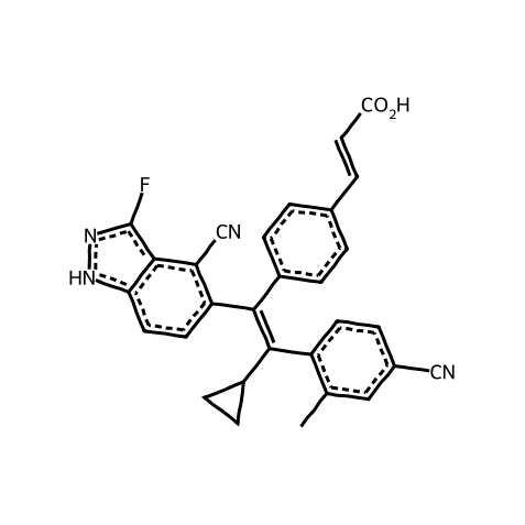 Cc1cc(C#N)ccc1/C(=C(\c1ccc(/C=C/C(=O)O)cc1)c1ccc2[nH]nc(F)c2c1C#N)C1CC1